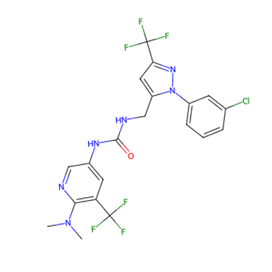 CN(C)c1ncc(NC(=O)NCc2cc(C(F)(F)F)nn2-c2cccc(Cl)c2)cc1C(F)(F)F